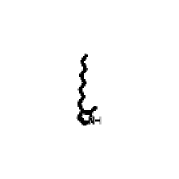 CCCCCCCCc1cc[nH]c1C